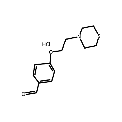 Cl.O=Cc1ccc(OCCN2CCSCC2)cc1